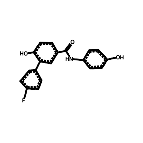 O=C(Nc1ccc(O)cc1)c1ccc(O)c(-c2ccc(F)cc2)c1